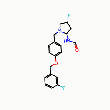 O=CN[C@@H]1C[C@@H](F)CN1Cc1ccc(OCc2cccc(F)c2)cc1